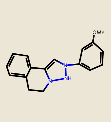 COc1cccc(N2C=C3c4ccccc4CCN3N2)c1